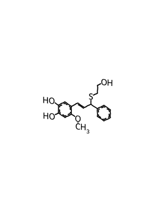 COc1cc(O)c(O)cc1/C=C/C(SCCO)c1ccccc1